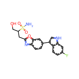 NS(=O)(=O)C(CO)Cc1nc2ccc(-c3c[nH]c4cc(F)ccc34)cc2o1